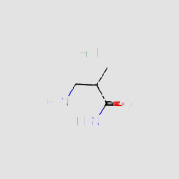 CC(CN)C(N)=O.Cl